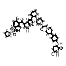 O=C1CCC(Nc2ccc(C3CCN(CC(=O)N4CCN(c5ncccc5-c5cnc6[nH]cc(C(=O)c7c(F)ccc(NS(=O)(=O)N8CCCC8)c7F)c6c5)CC4)CC3)cc2)C(=O)N1